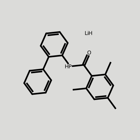 Cc1cc(C)c(C(=O)Pc2ccccc2-c2ccccc2)c(C)c1.[LiH]